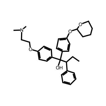 CCC(c1ccccc1)C(O)(c1ccc(OCCN(C)C)cc1)c1ccc(OC2CCCCO2)cc1